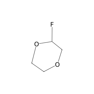 FC1COCCO1